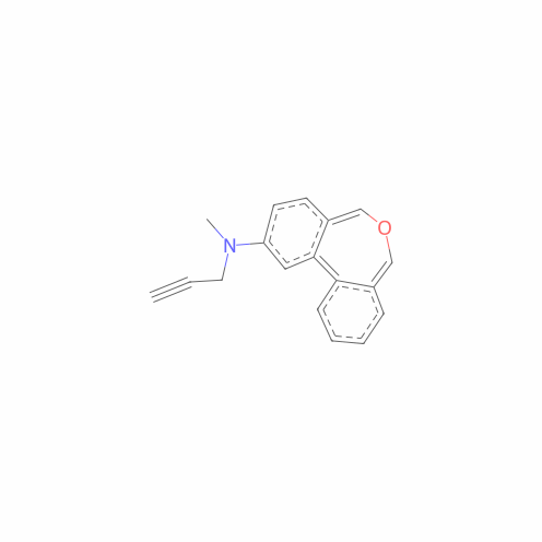 C#CCN(C)c1ccc2c(c1)=c1ccccc1=COC=2